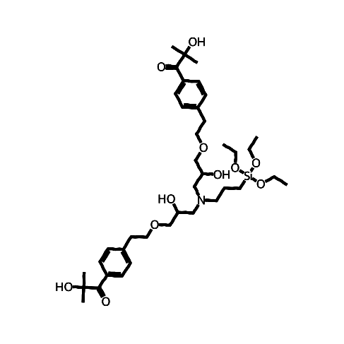 CCO[Si](CCCN(CC(O)COCCc1ccc(C(=O)C(C)(C)O)cc1)CC(O)COCCc1ccc(C(=O)C(C)(C)O)cc1)(OCC)OCC